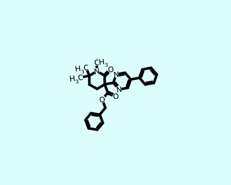 CN1C(=O)C(C(=O)OCc2ccccc2)(c2ncc(-c3ccccc3)cn2)CCC1(C)C